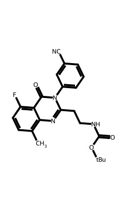 Cc1ccc(F)c2c(=O)n(-c3cccc(C#N)c3)c(CCNC(=O)OC(C)(C)C)nc12